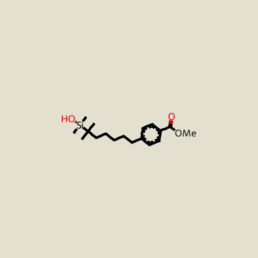 COC(=O)c1ccc(CCCCCC(C)(C)[Si](C)(C)O)cc1